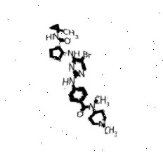 CN1CCC(N(C)C(=O)c2ccc(Nc3ncc(Br)c(N[C@@H]4CCC[C@@H]4C(=O)NC4(C)CC4)n3)cc2)CC1